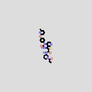 C=CC(=O)N1CCCC(NC(=O)c2sc3nccc4c3c2NC(=O)N4c2ccc(Oc3cccc(C)n3)cc2)C1